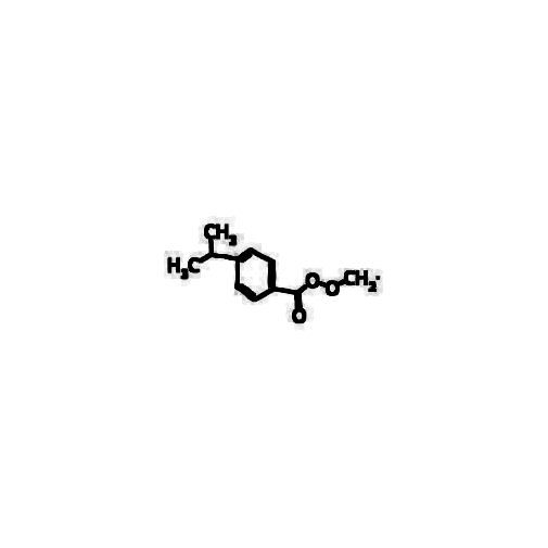 [CH2]OOC(=O)c1ccc(C(C)C)cc1